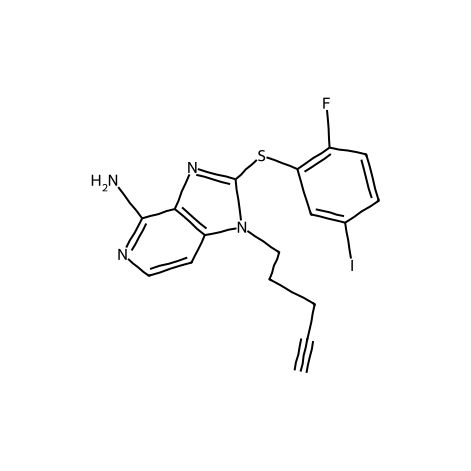 C#CCCCn1c(Sc2cc(I)ccc2F)nc2c(N)nccc21